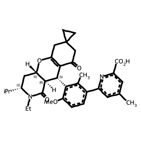 CCN1C(=O)[C@H]2[C@H](C[C@H]1C(C)C)OC1=C(C(=O)CC3(CC3)C1)[C@@H]2c1c(OC)ccc(-c2cc(C)cc(C(=O)O)n2)c1C